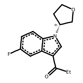 CCC(=O)c1cn([C@@H]2CCOC2)c2ccc(F)cc12